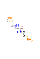 O=C(CNCCSP)NCCSP